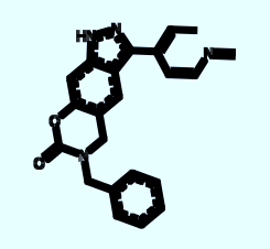 C=N/C=C\C(=C/C)c1n[nH]c2cc3c(cc12)CN(Cc1ccccc1)C(=O)O3